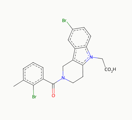 Cc1cccc(C(=O)N2CCc3c(c4cc(Br)ccc4n3CC(=O)O)C2)c1Br